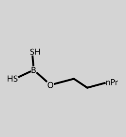 CCCCCOB(S)S